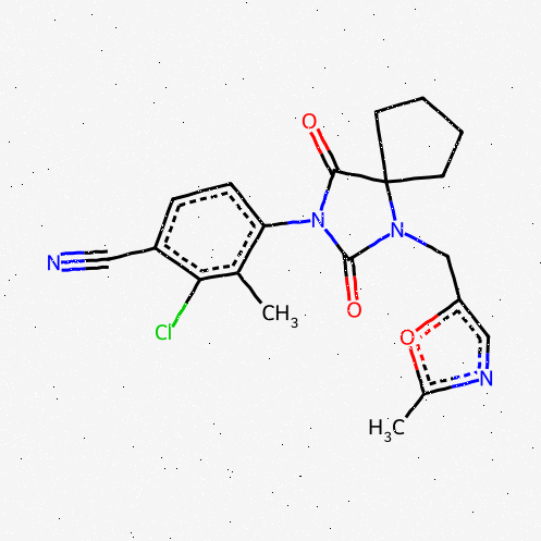 Cc1ncc(CN2C(=O)N(c3ccc(C#N)c(Cl)c3C)C(=O)C23CCCC3)o1